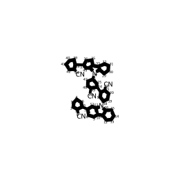 N#Cc1ccccc1-c1ccc2c3ccccc3n(-c3ccc(C#N)c(-c4cc(-n5c6ccccc6c6ccc(-c7ccccc7C#N)cc65)ccc4C#N)c3)c2c1